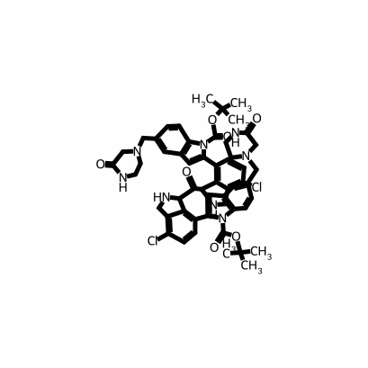 CC(C)(C)OC(=O)n1c(-c2ccc(Cl)c3c2C(C(=O)C2NCc4c(Cl)ccc(-c5cc6cc(CN7CCNC(=O)C7)ccc6n5C(=O)OC(C)(C)C)c42)NC3)cc2cc(CN3CCNC(=O)C3)ccc21